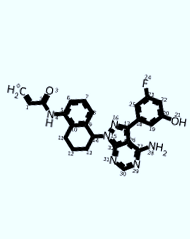 C=CC(=O)Nc1cccc2c1CCCC2n1nc(-c2cc(O)cc(F)c2)c2c(N)ncnc21